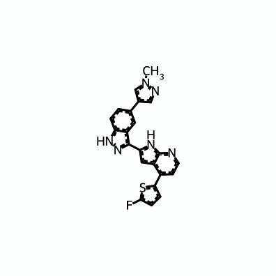 Cn1cc(-c2ccc3[nH]nc(-c4cc5c(-c6ccc(F)s6)ccnc5[nH]4)c3c2)cn1